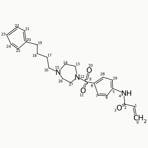 C=CC(=O)Nc1ccc(S(=O)(=O)N2CCN(CCCCc3ccccc3)CC2)cc1